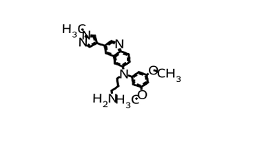 COc1cc(OC)cc(N(CCCN)c2ccc3ncc(-c4cnn(C)c4)cc3c2)c1